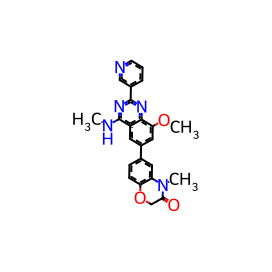 CNc1nc(-c2cccnc2)nc2c(OC)cc(-c3ccc4c(c3)N(C)C(=O)CO4)cc12